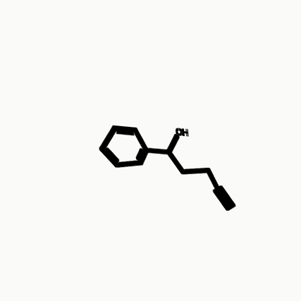 C#CCCC(O)c1ccccc1